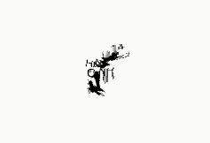 CC(C)(C)CC(=O)Nc1cc(C(C)(C)C)n[nH]1